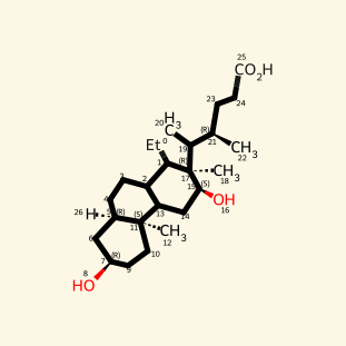 CCC1C2CC[C@@H]3C[C@H](O)CC[C@]3(C)C2C[C@H](O)[C@]1(C)C(C)[C@H](C)CCC(=O)O